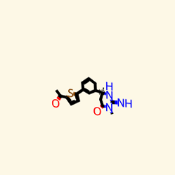 CC(=O)c1ccc(C2=CC([C@]3(C)CC(=O)N(C)C(=N)N3)CC=C2)s1